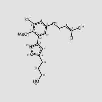 COc1c(Cl)cc(OCC=C(Cl)Cl)cc1-c1cc(CCCO)on1